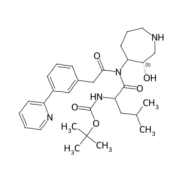 CC(C)CC(NC(=O)OC(C)(C)C)C(=O)N(C(=O)Cc1cccc(-c2ccccn2)c1)C1CCCNC[C@@H]1O